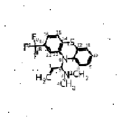 C=CC(N(C)C)N1c2ccccc2Sc2ccc(C(F)(F)F)cc21